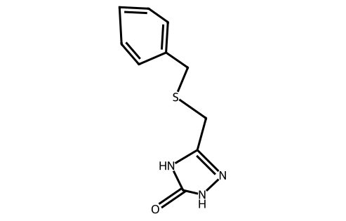 O=c1[nH]nc(CSCc2ccccc2)[nH]1